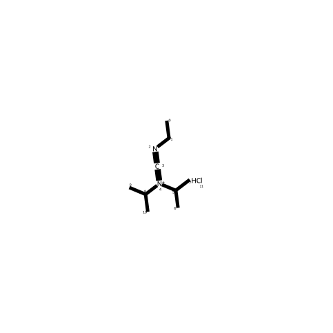 CCN=C=[N+](C(C)C)C(C)C.Cl